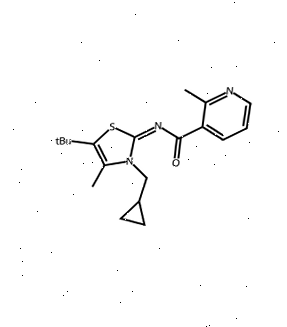 Cc1ncccc1C(=O)/N=c1/sc(C(C)(C)C)c(C)n1CC1CC1